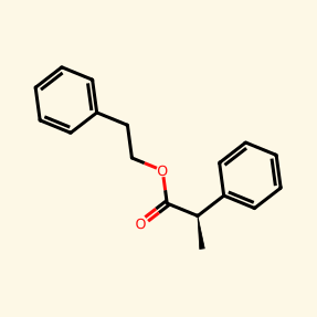 C[C@@H](C(=O)OCCc1ccccc1)c1ccccc1